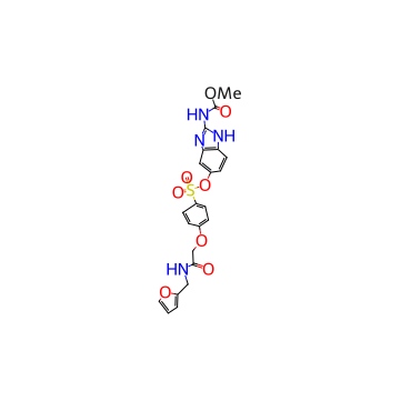 COC(=O)Nc1nc2cc(OS(=O)(=O)c3ccc(OCC(=O)NCc4ccco4)cc3)ccc2[nH]1